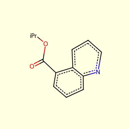 CC(C)OC(=O)c1cccc2ncccc12